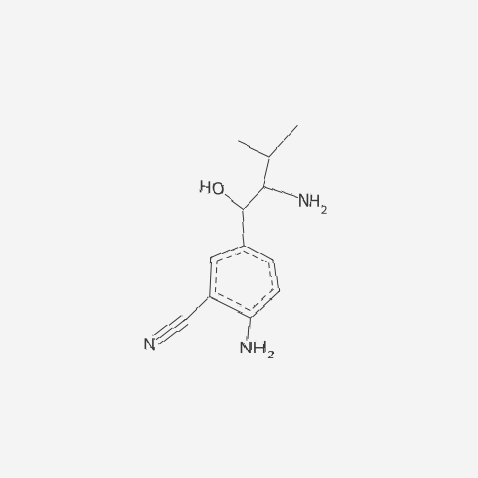 CC(C)C(N)C(O)c1ccc(N)c(C#N)c1